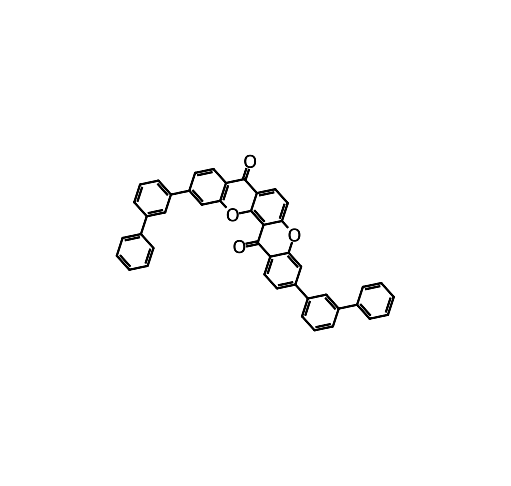 O=c1c2ccc(-c3cccc(-c4ccccc4)c3)cc2oc2c1ccc1oc3cc(-c4cccc(-c5ccccc5)c4)ccc3c(=O)c12